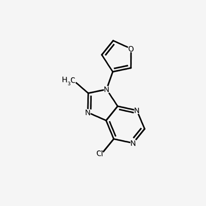 Cc1nc2c(Cl)ncnc2n1-c1ccoc1